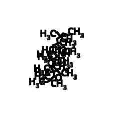 CCCC(C)(CC)CC(C)(CC)C(C)(CC)NC(C)(CC)C(C)(C)OC(C)(C)C(C)(CCC)C(=O)C(C)(C)CC